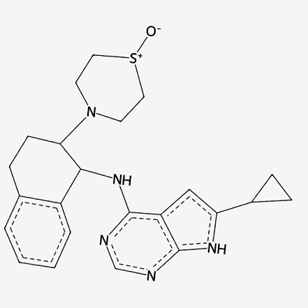 [O-][S+]1CCN(C2CCc3ccccc3C2Nc2ncnc3[nH]c(C4CC4)cc23)CC1